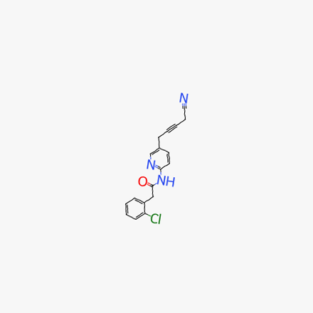 N#CCC#CCc1ccc(NC(=O)Cc2ccccc2Cl)nc1